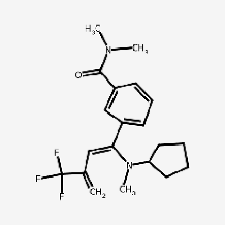 C=C(/C=C(/c1cccc(C(=O)N(C)C)c1)N(C)C1CCCC1)C(F)(F)F